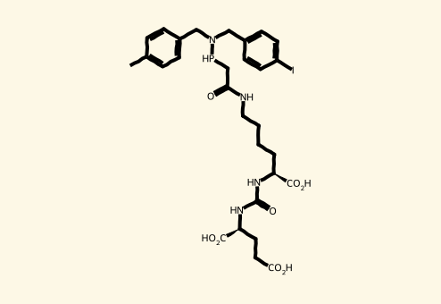 Cc1ccc(CN(Cc2ccc(I)cc2)PCC(=O)NCCCC[C@H](NC(=O)N[C@@H](CCC(=O)O)C(=O)O)C(=O)O)cc1